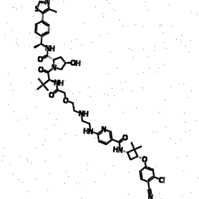 Cc1ncsc1-c1ccc([C@H](C)NC(=O)[C@@H]2C[C@@H](O)CN2C(=O)[C@@H](NC(=O)COCCNCCNc2ccc(C(=O)N[C@H]3C[C@@H](Oc4ccc(C#N)c(Cl)c4)C3(C)C)cn2)C(C)(C)C)cc1